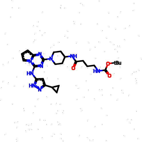 CC(C)(C)OC(=O)NCCCC(=O)NC1CCN(c2nc(Nc3cc(C4CC4)n[nH]3)n3cccc3n2)CC1